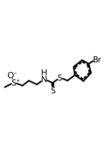 C[S+]([O-])CCCNC(=S)SCc1ccc(Br)cc1